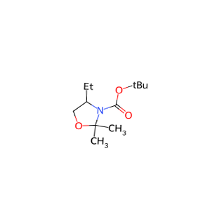 CCC1COC(C)(C)N1C(=O)OC(C)(C)C